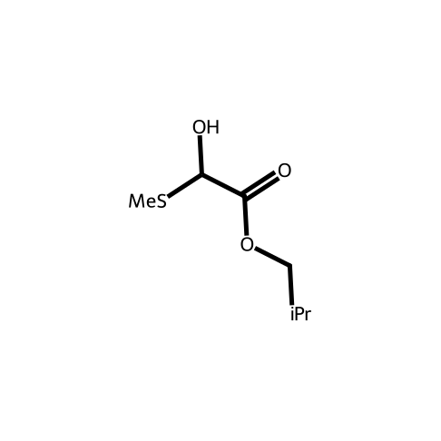 CSC(O)C(=O)OCC(C)C